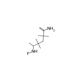 C=C(N)C(C)(C)CC(C)(C)C(C)NF